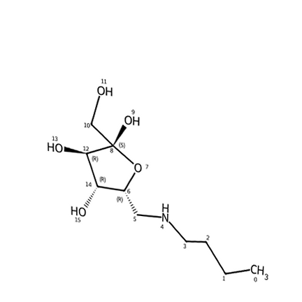 CCCCNC[C@H]1O[C@@](O)(CO)[C@H](O)[C@H]1O